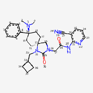 CN(C)[C@]1(c2ccccc2)CC[C@]2(CC1)CN(CC(=O)Nc1ncccc1C#N)C(=O)N2CC1CCC1